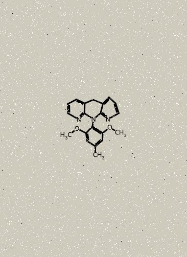 COc1cc(C)cc(OC)c1N1c2ncccc2Cc2cccnc21